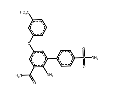 NC(=O)c1cc(Oc2cccc(C(=O)O)c2)cc(-c2ccc(S(N)(=O)=O)cc2)c1N